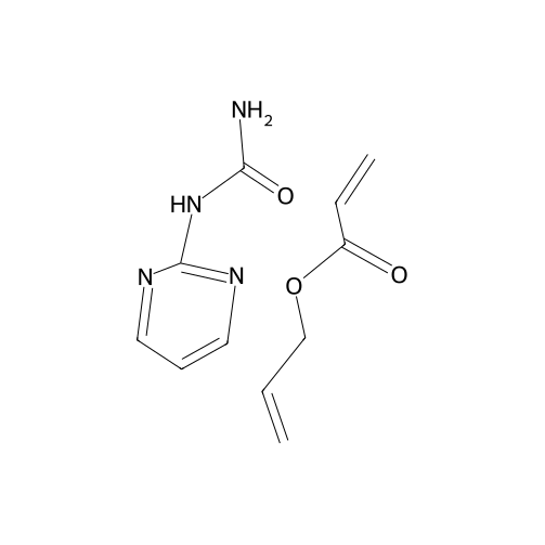 C=CCOC(=O)C=C.NC(=O)Nc1ncccn1